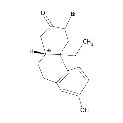 CCC12CC(Br)C(=O)C[C@H]1CCc1cc(O)ccc12